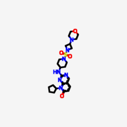 O=c1ccc2cnc(NC3CCN(S(=O)(=O)N4CC(N5CCOCC5)C4)CC3)nc2n1C1CCCC1